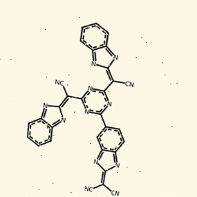 N#CC(C#N)=C1N=c2ccc(-c3nc(C(C#N)=C4N=c5ccccc5=N4)nc(C(C#N)=C4N=c5ccccc5=N4)n3)cc2=N1